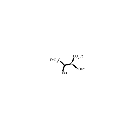 CCCCCCCCCCN(C(=O)OCC)C(C(=O)OCC)C(C)CC